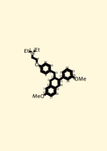 CCN(CC)CCOc1ccc(CC2Cc3cc(OC)ccc3C=C2c2cccc(OC)c2)cc1